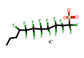 CCCC(F)C(F)(F)C(F)(F)C(F)(F)C(F)(F)C(F)(F)C(F)(F)C(F)(F)S(=O)(=O)[O-].[K+]